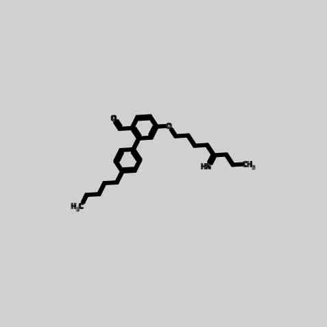 CCCCCc1ccc(-c2cc(OCCCCC(=N)CCC)ccc2C=O)cc1